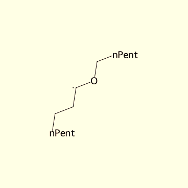 CCCCCCC[CH]OCCCCCC